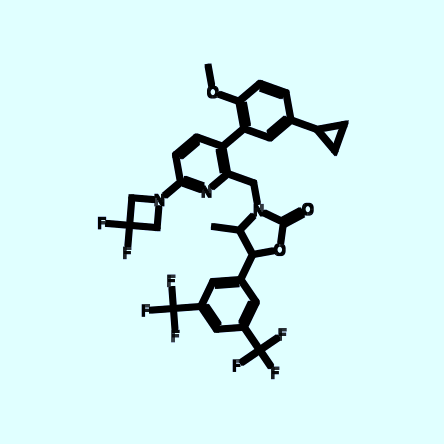 COc1ccc(C2CC2)cc1-c1ccc(N2CC(F)(F)C2)nc1CN1C(=O)OC(c2cc(C(F)(F)F)cc(C(F)(F)F)c2)C1C